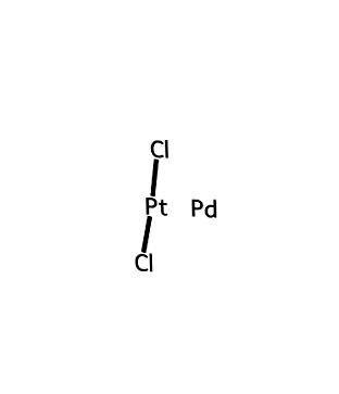 [Cl][Pt][Cl].[Pd]